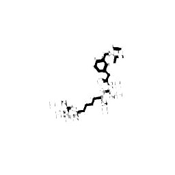 Cc1nccn1Cc1cccc(CC(=O)NC(=N)SC(=N)CCCCC(=N)SC(=N)N)c1